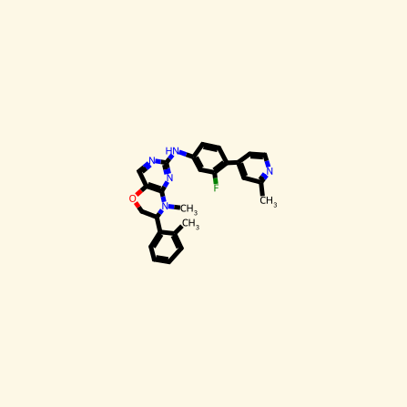 Cc1cc(-c2ccc(Nc3ncc4c(n3)N(C)C(c3ccccc3C)CO4)cc2F)ccn1